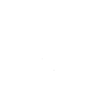 CCCNC(C)(C)C(C)C